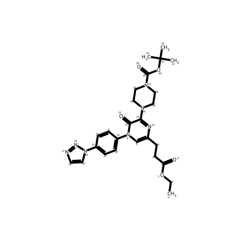 CCOC(=O)CCc1cn(-c2ccc(-n3ccnn3)cc2)c(=O)c(N2CCN(C(=O)OC(C)(C)C)CC2)n1